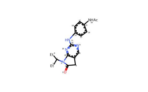 CCC(CC)N1C(=O)Cc2cnc(Nc3ccc(NC(C)=O)cc3)nc21